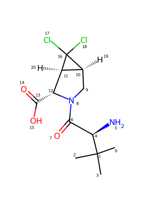 CC(C)(C)[C@H](N)C(=O)N1C[C@H]2[C@@H]([C@H]1C(=O)O)C2(Cl)Cl